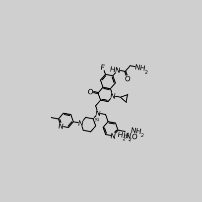 Cc1ccc(N2CCC[C@H](N(Cc3ccnc(C)c3)Cc3cn(C4CC4)c4cc(NC(=O)CN)c(F)cc4c3=O)C2)cn1.NN.O